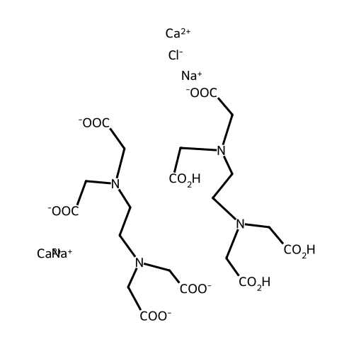 O=C([O-])CN(CCN(CC(=O)O)CC(=O)O)CC(=O)O.O=C([O-])CN(CCN(CC(=O)[O-])CC(=O)[O-])CC(=O)[O-].[Ca+2].[Ca+2].[Cl-].[Na+].[Na+]